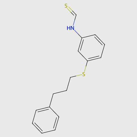 S=CNc1cccc(SCCCc2ccccc2)c1